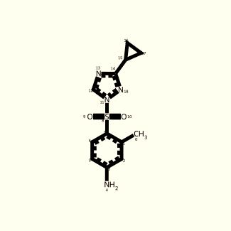 Cc1cc(N)ccc1S(=O)(=O)n1cnc(C2CC2)n1